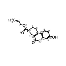 C=CCOC(=O)N1CCc2c(c(=O)oc3cc(O)ccc23)C1